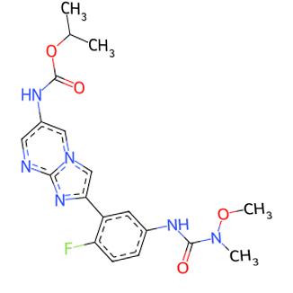 CON(C)C(=O)Nc1ccc(F)c(-c2cn3cc(NC(=O)OC(C)C)cnc3n2)c1